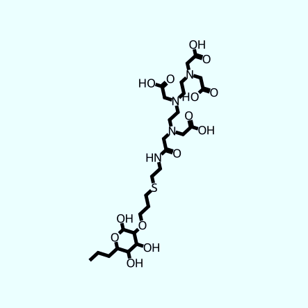 CCCC1OC(O)C(OCCCSCCNC(=O)CN(CCN(CCN(CC(=O)O)CC(=O)O)CC(=O)O)CC(=O)O)C(O)C1O